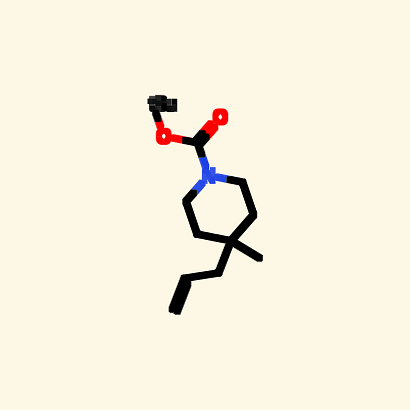 C=CCC1(C)CCN(C(=O)OC(C)(C)C)CC1